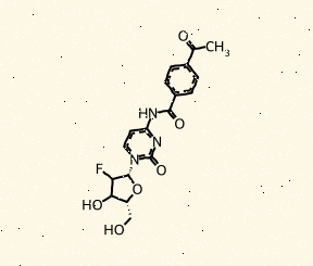 CC(=O)c1ccc(C(=O)Nc2ccn([C@@H]3O[C@H](CO)C(O)C3F)c(=O)n2)cc1